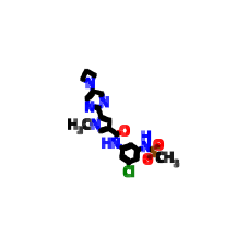 Cn1cc(C(=O)Nc2cc(Cl)cc(NS(C)(=O)=O)c2)cc1-c1ncc(N2CCC2)cn1